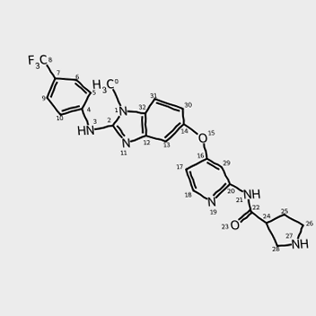 Cn1c(Nc2ccc(C(F)(F)F)cc2)nc2cc(Oc3ccnc(NC(=O)C4CCNC4)c3)ccc21